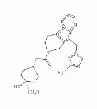 O=C(C[C@H]1CC[C@@](O)(C(=O)O)CC1)N1CCc2c(n(Cc3cnc(C(F)(F)F)s3)c3ncccc23)C1